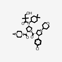 CN1CCN(C(=O)[C@@H]2C[C@H](N(C(=O)C(C)(C)CO)C3CCC(C)(C)CC3)CN2C(=O)[C@@H]2CN(C3CCOCC3)C[C@H]2c2ccc(Cl)cc2)CC1